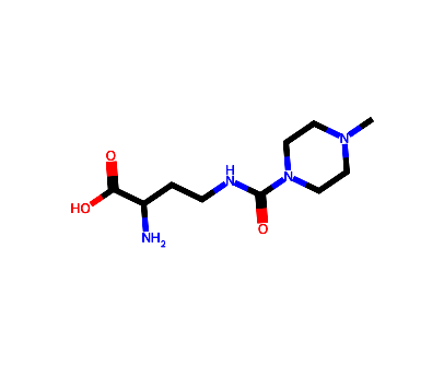 CN1CCN(C(=O)NCCC(N)C(=O)O)CC1